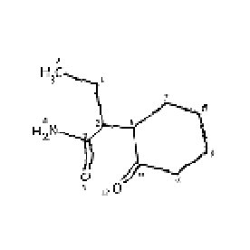 CCC(C(N)=O)C1CCCCC1=O